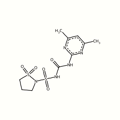 Cc1cc(C)nc(NC(=O)NS(=O)(=O)N2CCCS2(=O)=O)n1